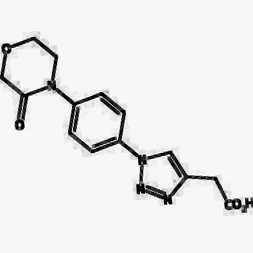 O=C(O)Cc1cn(-c2ccc(N3CCOCC3=O)cc2)nn1